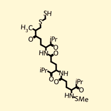 CSNC(CCC(=O)NC(CCC(=O)NC(CCC(=O)C(C)CSCS)C(=O)C(C)C)C(=O)C(C)C)C(=O)C(C)C